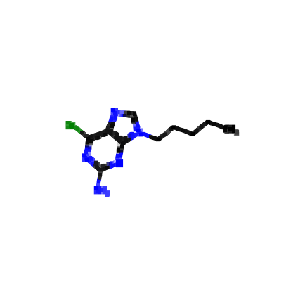 CCCCCn1cnc2c(Br)nc(N)nc21